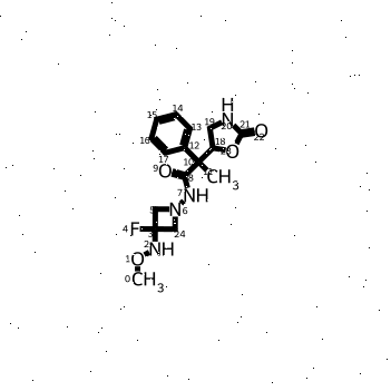 CONC1(F)CN(NC(=O)C(C)(c2ccccc2)C2CNC(=O)O2)C1